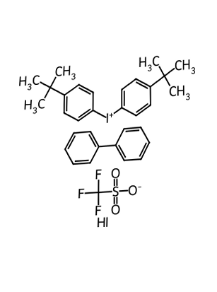 CC(C)(C)c1ccc([I+]c2ccc(C(C)(C)C)cc2)cc1.I.O=S(=O)([O-])C(F)(F)F.c1ccc(-c2ccccc2)cc1